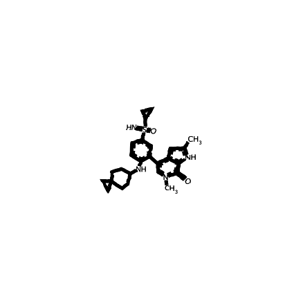 Cc1cc2c(-c3cc(S(=N)(=O)C4CC4)ccc3NC3CCC4(CC3)CC4)cn(C)c(=O)c2[nH]1